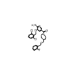 Nc1ncc(C(=O)N2CCC(COCc3ccccc3F)CC2)cc1OCc1c(Cl)cccc1Cl